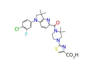 CC1(C)CN(c2ccc(Cl)c(F)c2)c2ccc(C(=O)N3CCN(c4nc(C(=O)O)cs4)CC3(C)C)nc21